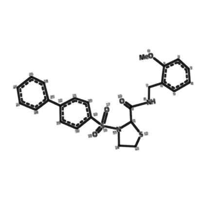 COc1ccccc1CNC(=O)C1SCCN1S(=O)(=O)c1ccc(-c2ccccc2)cc1